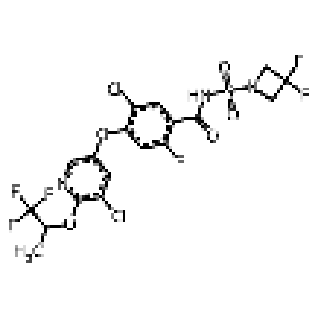 CC(Oc1ncc(Oc2cc(F)c(C(=O)NS(=O)(=O)N3CC(F)(F)C3)cc2Cl)cc1Cl)C(F)(F)F